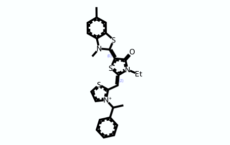 CCn1c(=O)/c(=C2\Sc3cc(C)ccc3N2C)s/c1=C\c1scc[n+]1C(C)c1ccccc1